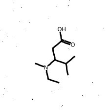 CCN(C)C(CC(=O)O)C(C)C